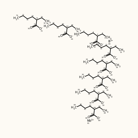 CCCCC(CC)C(=O)[O-].CCCCC(CC)C(=O)[O-].CCCCC(CC)C(=O)[O-].CCCCC(CC)C(=O)[O-].CCCCC(CC)C(=O)[O-].CCCCC(CC)C(=O)[O-].CCCCC(CC)C(=O)[O-].CCCCC(CC)C(=O)[O-].[B+3].[Nb+5]